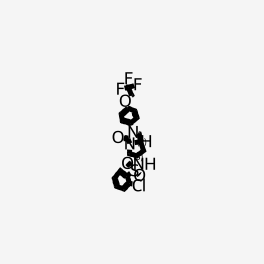 O=C1N(c2ccc(OCC(F)(F)F)cc2)C[C@H]2C[C@H](NS(=O)(=O)c3ccccc3Cl)CN12